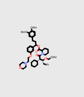 COCO[C@H](CC(C)C)[C@@H](C(=O)N1CCCCC1C(=O)OC(CCc1ccc(OC)c(OC)c1)c1cccc(OCCN2CCOCC2)c1)C1CCCCC1